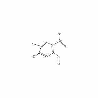 Cc1cc([N+](=O)[O-])c(C=O)cc1Cl